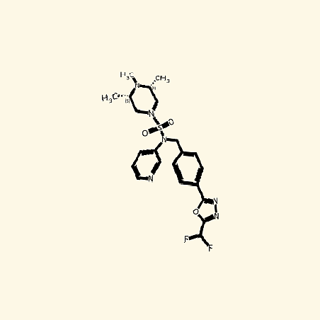 C[C@@H]1CN(S(=O)(=O)N(Cc2ccc(-c3nnc(C(F)F)o3)cc2)c2cccnc2)C[C@H](C)N1C